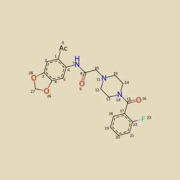 CC(=O)c1cc2c(cc1NC(=O)CN1CCN(C(=O)c3ccccc3F)CC1)OCO2